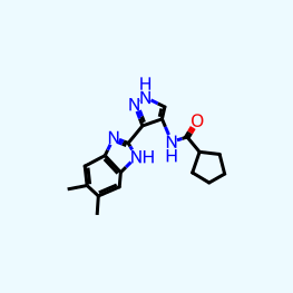 Cc1cc2nc(-c3n[nH]cc3NC(=O)C3CCCC3)[nH]c2cc1C